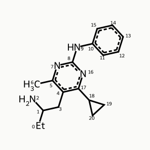 CCC(N)Cc1c(C)nc(Nc2ccccc2)nc1C1CC1